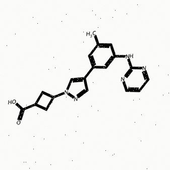 Cc1cc(Nc2ncccn2)cc(-c2cnn(C3CC(C(=O)O)C3)c2)c1